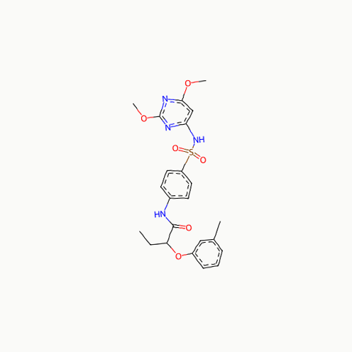 CCC(Oc1cccc(C)c1)C(=O)Nc1ccc(S(=O)(=O)Nc2cc(OC)nc(OC)n2)cc1